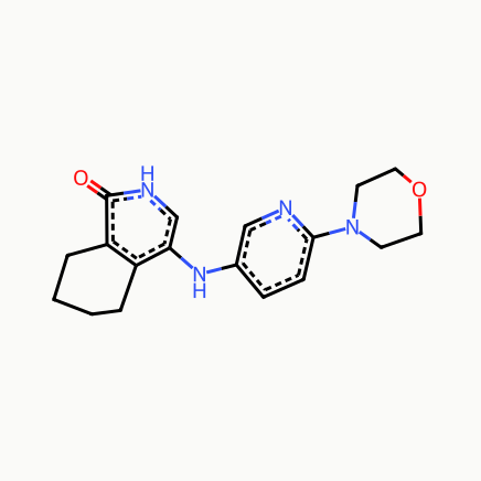 O=c1[nH]cc(Nc2ccc(N3CCOCC3)nc2)c2c1CCCC2